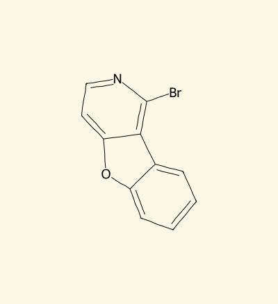 Brc1nccc2oc3ccccc3c12